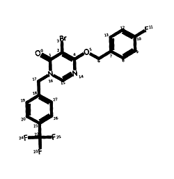 O=c1c(Br)c(OCc2ccc(F)cc2)ncn1Cc1ccc(C(F)(F)F)cc1